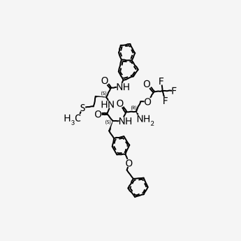 CSCC[C@H](NC(=O)[C@H](Cc1ccc(OCc2ccccc2)cc1)NC(=O)[C@H](N)COC(=O)C(F)(F)F)C(=O)Nc1ccc2ccccc2c1